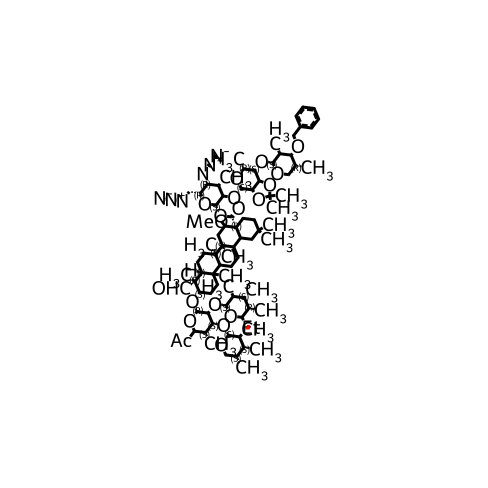 CCC1O[C@@H](OC2[C@H](O[C@H]3CCC4(C)C5CC=C6C7CC(C)(C)CC[C@]7(C(=O)O[C@@H]7O[C@H](CN=[N+]=[N-])[C@H](N=[N+]=[N-])C(C)C7O[C@@H]7O[C@H](C)[C@H](O[C@@H]8OC[C@@H](C)C(OCc9ccccc9)C8C)C8OC(C)(C)OC87)C(OC)C[C@@]6(C)[C@@]5(C)CC[C@H]4[C@@]3(C)C=O)OC(C(C)=O)[C@@H](C)[C@@H]2O[C@@H]2OC[C@@H](C)[C@H](C)C2C)C(C)[C@@H](C)[C@H]1C